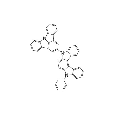 c1ccc(-n2c3ccccc3c3c4c5ccccc5n(-c5cc6c7ccccc7n7c8ccccc8c(c5)c67)c4ccc32)cc1